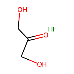 F.O=C(CO)CO